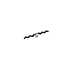 CCCC/C=C/S/C=C/CCCC